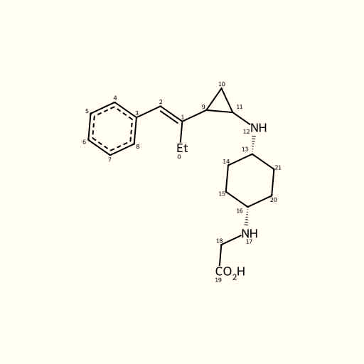 CC/C(=C\c1ccccc1)C1CC1N[C@H]1CC[C@@H](NCC(=O)O)CC1